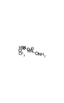 Nc1ccc(CCNC(=O)c2ccc(-c3cc(-c4cccc(C(F)(F)F)c4)[nH]n3)cc2)cc1